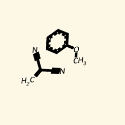 C=C(C#N)C#N.COc1ccccc1